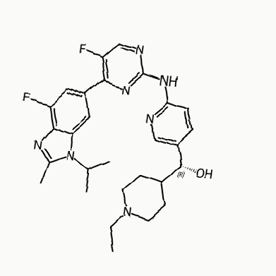 CCN1CCC([C@@H](O)c2ccc(Nc3ncc(F)c(-c4cc(F)c5nc(C)n(C(C)C)c5c4)n3)nc2)CC1